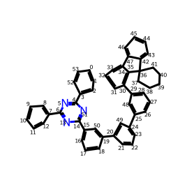 c1ccc(-c2nc(-c3ccccc3)nc(-c3cccc(-c4cccc(-c5cccc(-c6cccc7c6C6(CCCCC6)c6ccccc6-7)c5)c4)c3)n2)cc1